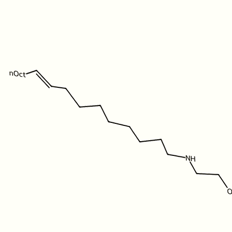 CCCCCCCCC=CCCCCCCCCNCCO